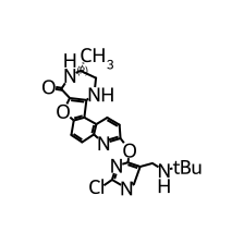 C[C@@H]1CNc2c(oc3ccc4nc(Oc5nc(Cl)ncc5CNC(C)(C)C)ccc4c23)C(=O)N1